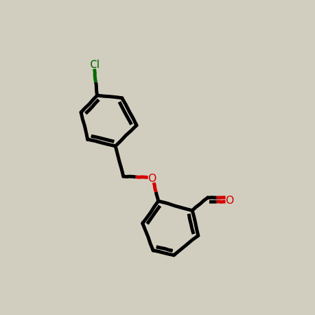 O=Cc1ccccc1OCc1ccc(Cl)cc1